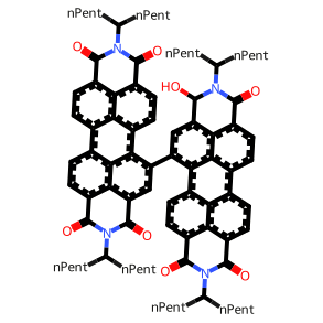 CCCCCC(CCCCC)N1C(=O)c2ccc3c4ccc5c6c(cc(-c7cc8c9c(ccc%10c%11ccc%12c%13c(ccc(c7c9%10)c%13%11)C(=O)N(C(CCCCC)CCCCC)C%12=O)C(=O)N(C(CCCCC)CCCCC)C8O)c(c7ccc(c2c37)C1=O)c64)C(=O)N(C(CCCCC)CCCCC)C5=O